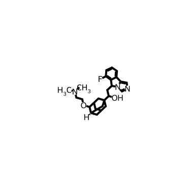 CN(C)CCOC1C2CC3C[C@@H]1CC(C(O)CC1c4c(F)cccc4-c4cncn41)(C3)C2